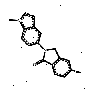 Cc1ccc2c(c1)CN(c1ccc3c(ccn3C)c1)C2=O